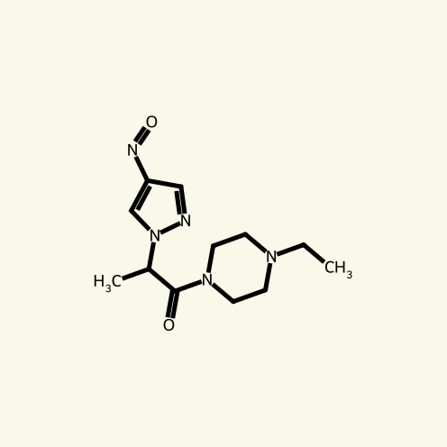 CCN1CCN(C(=O)C(C)n2cc(N=O)cn2)CC1